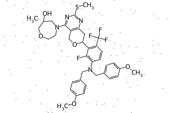 COc1ccc(CN(Cc2ccc(OC)cc2)c2ccc(C(F)(F)F)c(C3Cc4nc(SC)nc(N5CCOC[C@@](C)(O)C5)c4CO3)c2F)cc1